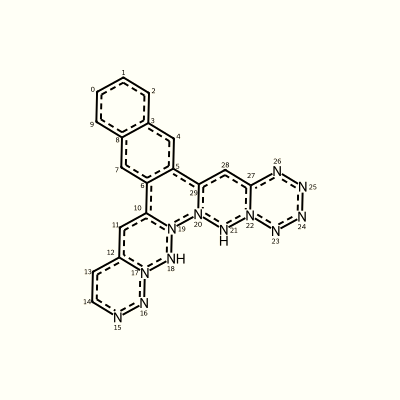 c1ccc2cc3c(cc2c1)c1cc2ccnnn2[nH]n1n1[nH]n2nnnnc2cc31